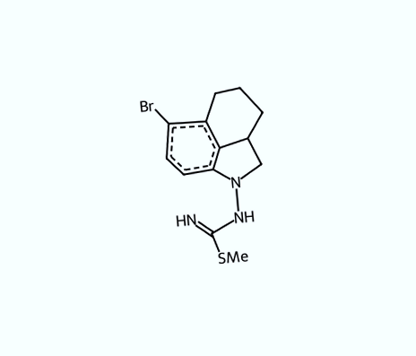 CSC(=N)NN1CC2CCCc3c(Br)ccc1c32